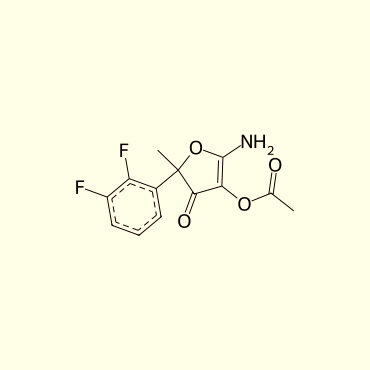 CC(=O)OC1=C(N)OC(C)(c2cccc(F)c2F)C1=O